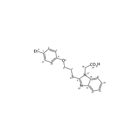 CCc1ccc(OCCSc2nc3ccccc3n2CC(=O)O)cc1